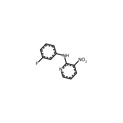 O=[N+]([O-])c1cccnc1Nc1cccc(F)c1